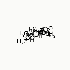 CC1=C2C[C@H]3[C@@H](CC[C@]4(C)CC(=O)CC[C@]34C)[C@@H]2CC[C@@]2(C1)O[C@@H]1C[C@H](C)CN(C)[C@H]1[C@H]2C